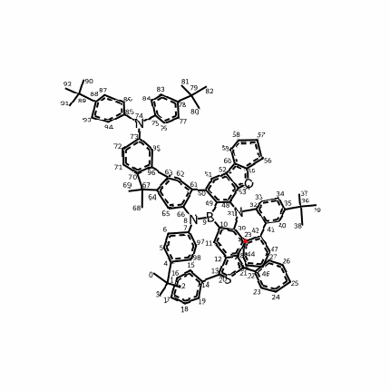 CC(C)(C)c1ccc(N2B3c4cc5c(-c6ccccc6)sc(-c6ccccc6)c5cc4N(c4ccc(C(C)(C)C)cc4-c4ccccc4)c4c3c(cc3c4oc4ccccc43)-c3cc4c(cc32)C(C)(C)c2ccc(N(c3ccc(C(C)(C)C)cc3)c3ccc(C(C)(C)C)cc3)cc2-4)cc1